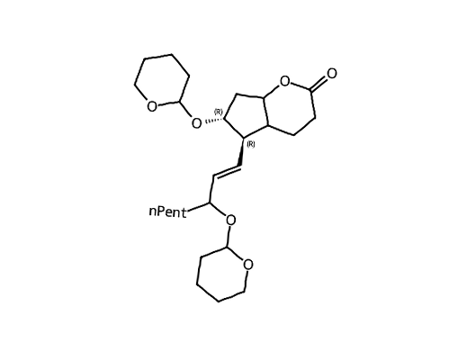 CCCCCC(C=C[C@@H]1C2CCC(=O)OC2C[C@H]1OC1CCCCO1)OC1CCCCO1